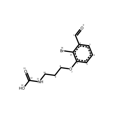 O=Cc1cccc(OCCCNC(=O)O)c1Br